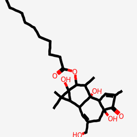 CCCCCCCCCC(=O)OC1C(C)C2(O)C(C=C(CO)CC3(O)C(=O)C(C)=CC32)C2C(C)(C)C12O